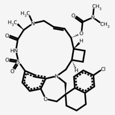 C[C@@H]1C(=O)NS(=O)(=O)c2ccc3c(c2)N(C[C@@H]2CC[C@H]2[C@@H](OC(=O)N(C)C)/C=C/CN1C)C[C@@]1(CCCc2cc(Cl)ccc21)CO3